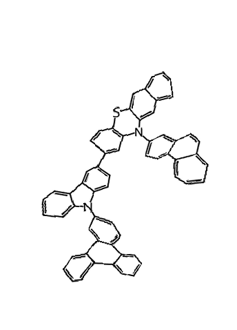 c1ccc2cc3c(cc2c1)Sc1ccc(-c2ccc4c(c2)c2ccccc2n4-c2ccc4c5ccccc5c5ccccc5c4c2)cc1N3c1ccc2c(ccc3ccccc32)c1